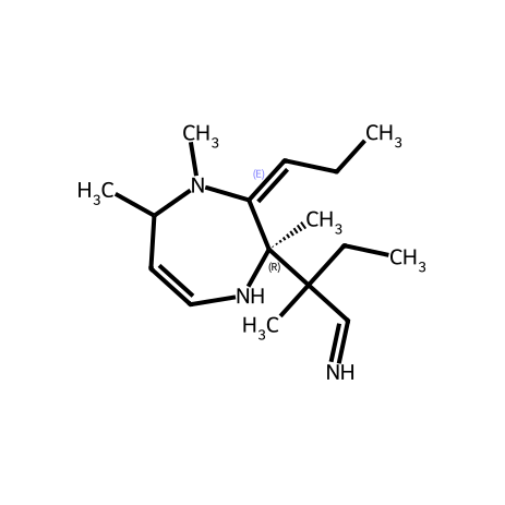 CC/C=C1/N(C)C(C)C=CN[C@]1(C)C(C)(C=N)CC